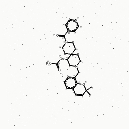 CC1(C)C=Cc2cccc(CN3CCC4(CCN(C(=O)c5ccncc5)CC4)C(OC(=O)C(F)(F)F)C3)c2O1